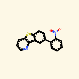 O=[N+]([O-])c1ccccc1-c1ccc2sc3cccnc3c2c1